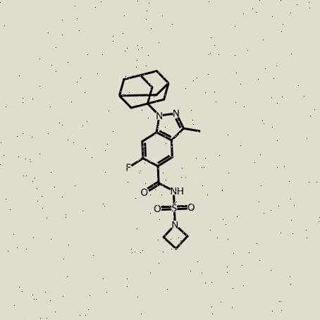 Cc1nn(C23CC4CC(CC(C4)C2)C3)c2cc(F)c(C(=O)NS(=O)(=O)N3CCC3)cc12